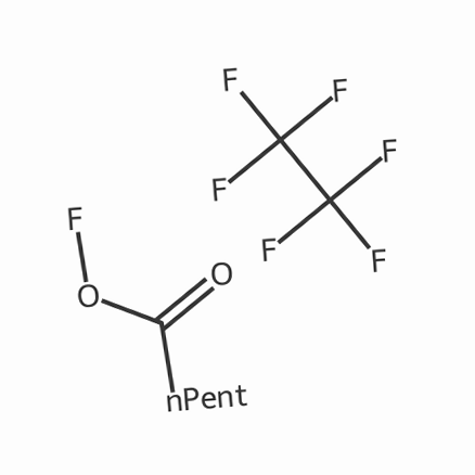 CCCCCC(=O)OF.FC(F)(F)C(F)(F)F